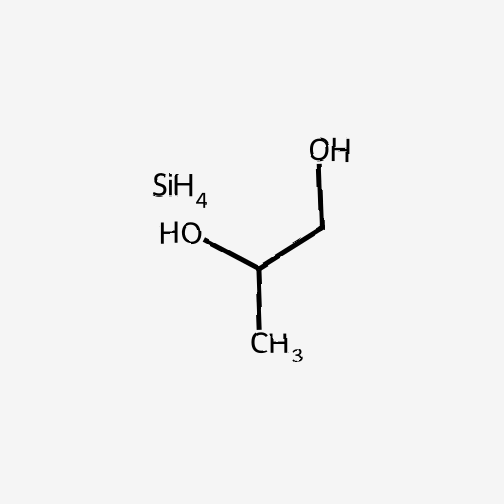 CC(O)CO.[SiH4]